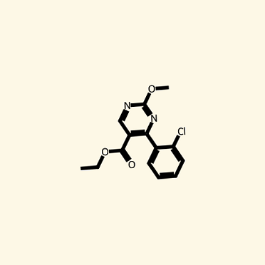 CCOC(=O)c1cnc(OC)nc1-c1ccccc1Cl